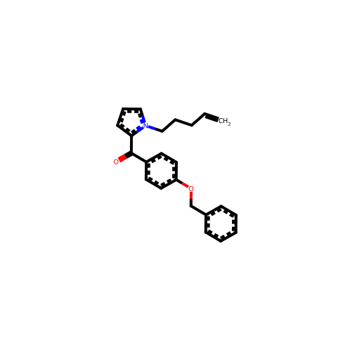 C=CCCCn1cccc1C(=O)c1ccc(OCc2ccccc2)cc1